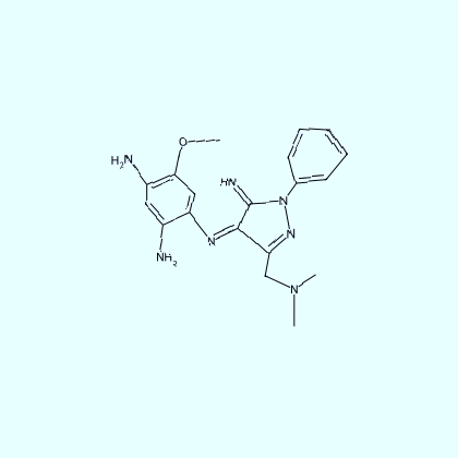 COc1cc(N=C2C(=N)N(c3ccccc3)N=C2CN(C)C)c(N)cc1N